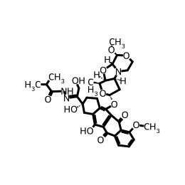 COc1cccc2c1C(=O)c1c(O[C@H]3C[C@H]4[C@H](O[C@@H]5[C@@H](OC)OCCN54)[C@H](C)O3)c3c(c(O)c1C2=O)C[C@@](O)(/C(CO)=N/NC(=O)C(C)C)CC3